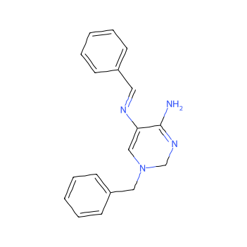 NC1=NCN(Cc2ccccc2)C=C1/N=C/c1ccccc1